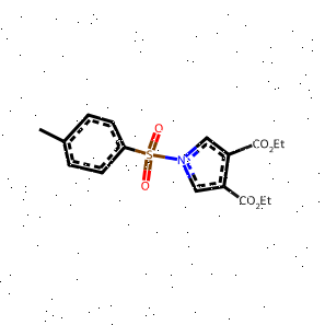 CCOC(=O)c1cn(S(=O)(=O)c2ccc(C)cc2)cc1C(=O)OCC